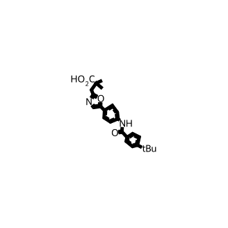 CC(C)(Cc1ncc(-c2ccc(NC(=O)c3ccc(C(C)(C)C)cc3)cc2)o1)C(=O)O